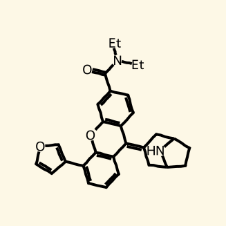 CCN(CC)C(=O)c1ccc2c(c1)Oc1c(cccc1-c1ccoc1)C2=C1CC2CCC(C1)N2